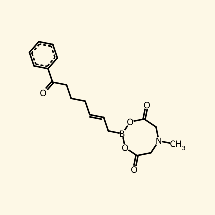 CN1CC(=O)OB(C/C=C/CCCC(=O)c2ccccc2)OC(=O)C1